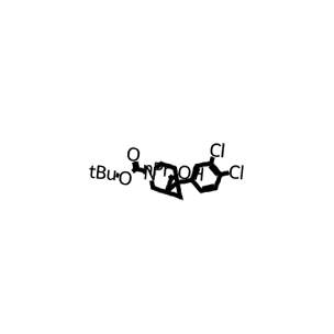 CCCC(O)C12CN(C(=O)OC(C)(C)C)CCC1(c1ccc(Cl)c(Cl)c1)C2